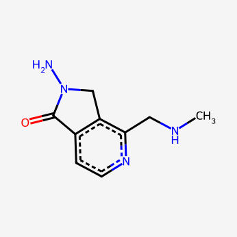 CNCc1nccc2c1CN(N)C2=O